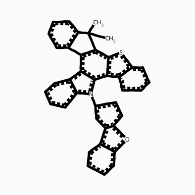 CC1(C)c2ccccc2-c2c1c1sc3ccccc3c1c1c2c2ccccc2n1-c1ccc2oc3ccccc3c2c1